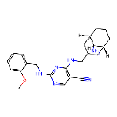 COc1ccccc1CNc1ncc(C#N)c(NCC2C[C@H]3CCC[C@@H](C2)[C@@H]3N)n1